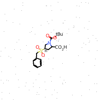 CC(C)(C)OC(=O)N1C[C@H](S(=O)(=O)Cc2ccccc2)CC1C(=O)O